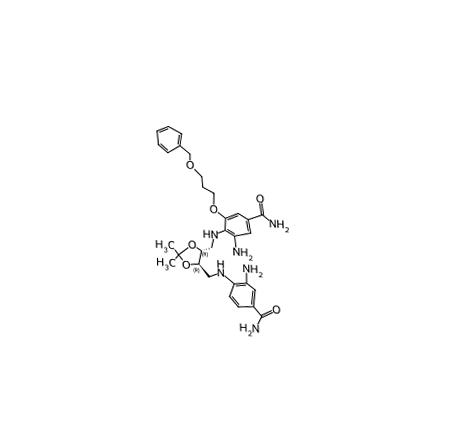 CC1(C)O[C@H](CNc2ccc(C(N)=O)cc2N)[C@@H](CNc2c(N)cc(C(N)=O)cc2OCCCOCc2ccccc2)O1